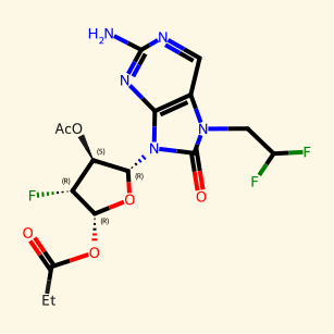 CCC(=O)O[C@H]1O[C@@H](n2c(=O)n(CC(F)F)c3cnc(N)nc32)[C@H](OC(C)=O)[C@H]1F